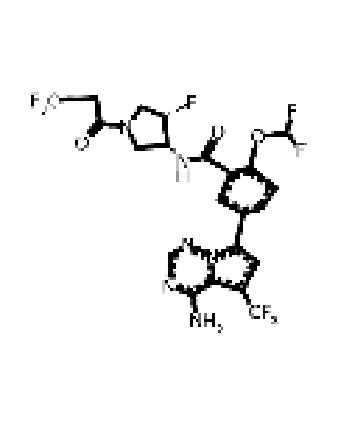 Nc1ncnn2c(-c3ccc(OC(F)F)c(C(=O)N[C@@H]4CN(C(=O)CC(F)(F)F)C[C@@H]4F)c3)cc(C(F)(F)F)c12